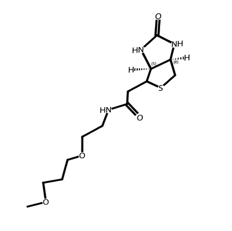 COCCCOCCNC(=O)CC1SC[C@@H]2NC(=O)N[C@H]12